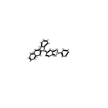 c1ccc(-n2nc3ccc(-n4c5ccccc5c5cc6ccccc6cc54)cc3n2)cc1